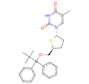 Cc1cn([C@@H]2CC[C@@H](CO[Si](c3ccccc3)(c3ccccc3)C(C)(C)C)S2)c(=O)[nH]c1=O